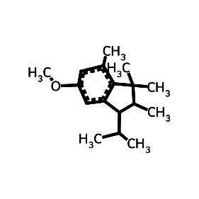 COc1cc(C)c2c(c1)C(C(C)C)C(C)C2(C)C